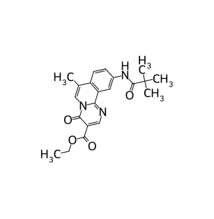 CCOC(=O)c1cnc2c3cc(NC(=O)C(C)(C)C)ccc3c(C)cn2c1=O